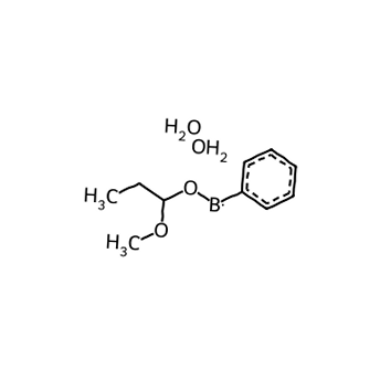 CCC(OC)O[B]c1ccccc1.O.O